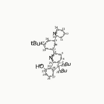 CCCCC1(CCCC)c2ccc(-c3cc(-c4ccccn4)cc(C(C)(C)C)c3)nc2-c2c(O)cccc21